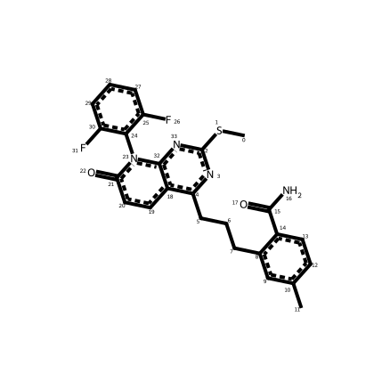 CSc1nc(CCCc2cc(C)ccc2C(N)=O)c2ccc(=O)n(-c3c(F)cccc3F)c2n1